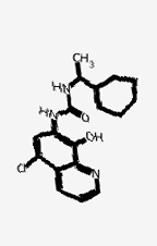 CC(NC(=O)Nc1cc(Cl)c2cccnc2c1O)C1CCCCC1